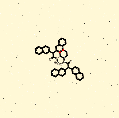 O=C(C(c1ccc2ccccc2c1)c1ccc2ccccc2c1)N(O)C1CCCC[C@H]1N(O)C(=O)C(c1ccc2ccccc2c1)c1ccc2ccccc2c1